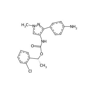 C[C@@H](OC(=O)Nc1cn(C)nc1-c1ccc(N)cc1)c1ccccc1Cl